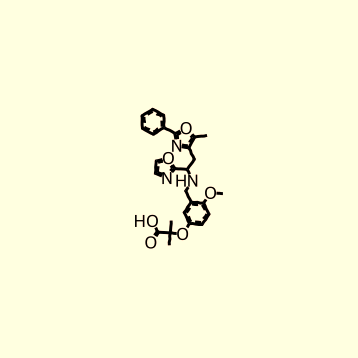 COc1ccc(OC(C)(C)C(=O)O)cc1CNC(Cc1nc(-c2ccccc2)oc1C)c1ncco1